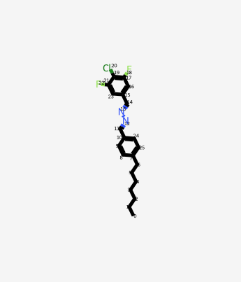 CCCCCCCc1ccc(/C=N/N=C/c2cc(F)c(Cl)c(F)c2)cc1